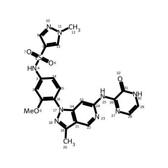 COc1cc(NS(=O)(=O)c2cnn(C)c2)ccc1-n1nc(C)c2cnc(Nc3ncc[nH]c3=O)cc21